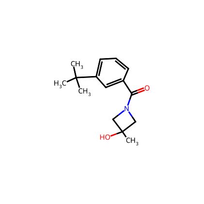 CC1(O)CN(C(=O)c2cccc(C(C)(C)C)c2)C1